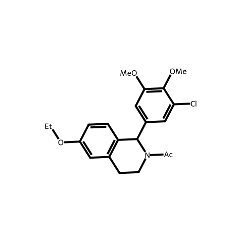 CCOc1ccc2c(c1)CCN(C(C)=O)C2c1cc(Cl)c(OC)c(OC)c1